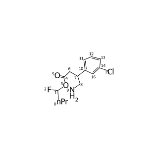 CCCC(F)OC(=O)CC(CN)c1cccc(Cl)c1